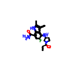 C=CC(=O)N1CCC(Nc2c(F)cc(C(N)=O)c3[nH]c(C)c(C)c23)C1